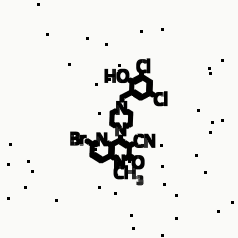 Cn1c(=O)c(C#N)c(N2CCN(Cc3cc(Cl)cc(Cl)c3O)CC2)c2nc(Br)ccc21